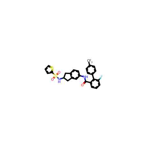 O=C(Nc1ccc2c(c1)CC(NS(=O)(=O)c1cccs1)C2)c1cccc(F)c1-c1ccc(C(F)(F)F)cc1